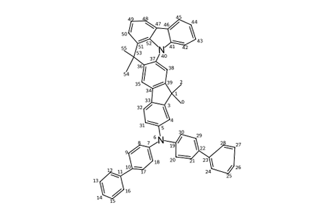 CC1(C)c2cc(N(c3ccc(-c4ccccc4)cc3)c3ccc(-c4ccccc4)cc3)ccc2-c2cc3c(cc21)-n1c2ccccc2c2cccc(c21)C3(C)C